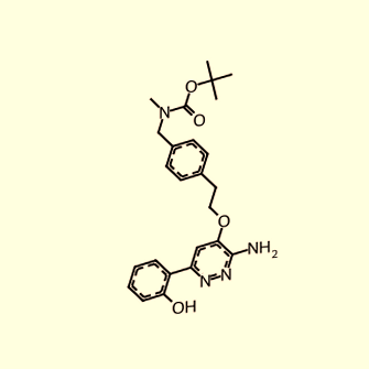 CN(Cc1ccc(CCOc2cc(-c3ccccc3O)nnc2N)cc1)C(=O)OC(C)(C)C